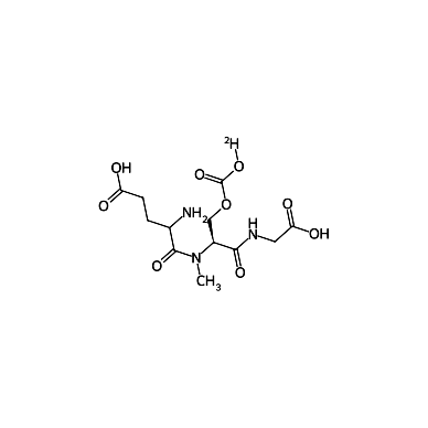 [2H]OC(=O)OC[C@@H](C(=O)NCC(=O)O)N(C)C(=O)C(N)CCC(=O)O